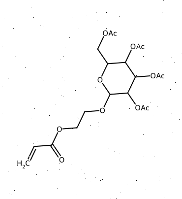 C=CC(=O)OCCOC1OC(COC(C)=O)C(OC(C)=O)C(OC(C)=O)C1OC(C)=O